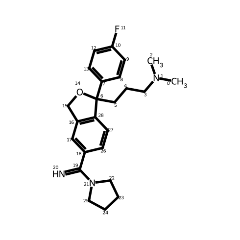 CN(C)CCCC1(c2ccc(F)cc2)OCc2cc(C(=N)N3CCCC3)ccc21